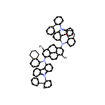 CC(C)c1cc(N(c2cccc3c2CCCC3)c2cccc3c2c2ccccc2n3-c2ccccc2-c2ccccc2)c2ccc3c(C(C)C)cc(N(c4cccc5c4CCCC5)c4cccc5c4c4ccccc4n5-c4ccccc4-c4ccccc4)c4ccc1c2c34